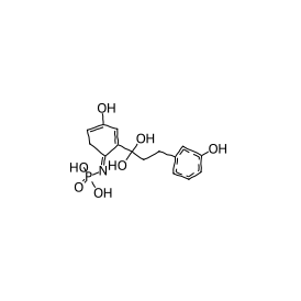 O=P(O)(O)N=C1CC=C(O)C=C1C(O)(O)CCc1cccc(O)c1